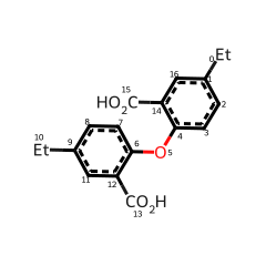 CCc1ccc(Oc2ccc(CC)cc2C(=O)O)c(C(=O)O)c1